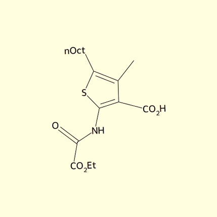 CCCCCCCCc1sc(NC(=O)C(=O)OCC)c(C(=O)O)c1C